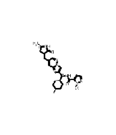 CCn1nccc1C(=O)N[C@H](c1cn2ncc(CC3C[C@@H](C(F)(F)F)NC3=O)cc2n1)[C@H]1CC[C@H](C)CC1